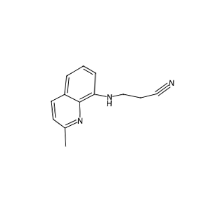 Cc1ccc2cccc(NCCC#N)c2n1